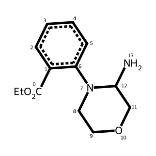 CCOC(=O)c1ccccc1N1CCOCC1N